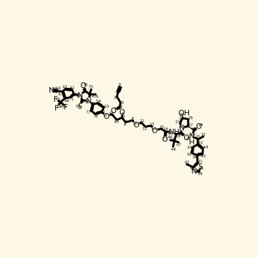 C#CCCC(=O)OC(CCOCCCOCC(=O)NC(C(=O)N1C[C@H](O)C[C@H]1C(=O)NC(C)c1ccc(-c2scnc2C)cc1)C(C)(C)C)CCOc1ccc(N2C(=S)N(c3ccc(C#N)c(C(F)(F)F)c3)C(=O)C2(C)C)cc1